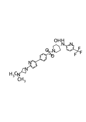 CN(C)C1CN(c2ccc(-c3ccc(S(=O)(=O)N4CC[C@@H](Nc5ccc(C(F)(F)F)cn5)[C@@H](O)C4)cc3)cn2)C1